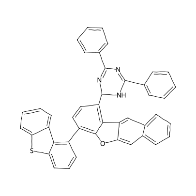 c1ccc(C2=NC(c3ccc(-c4cccc5sc6ccccc6c45)c4oc5cc6ccccc6cc5c34)NC(c3ccccc3)=N2)cc1